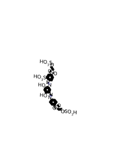 O=S(=O)(O)OCCS(=O)(=O)c1ccc(/N=N/c2cc(/N=N/c3ccc(S(=O)(=O)CCOS(=O)(=O)O)cc3S(=O)(=O)O)c(O)cc2O)cc1